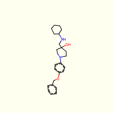 OC1(CNC2CCCCC2)CCN(c2ccc(OCc3ccccc3)cc2)CC1